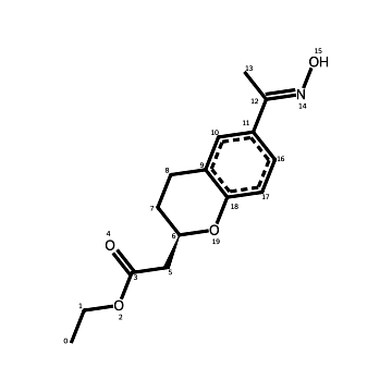 CCOC(=O)C[C@H]1CCc2cc(/C(C)=N/O)ccc2O1